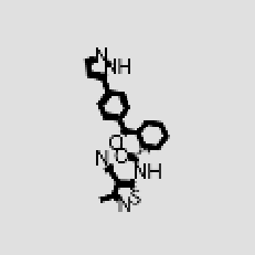 Cc1nsc(NC(=O)[C@H]2CCCCC2C(=O)c2ccc(-c3ccn[nH]3)cc2)c1C#N